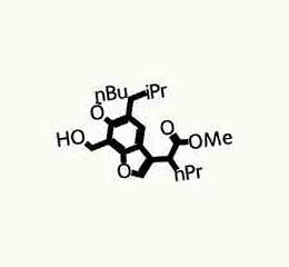 CCCCOc1c(CC(C)C)cc2c(C(CCC)C(=O)OC)coc2c1CO